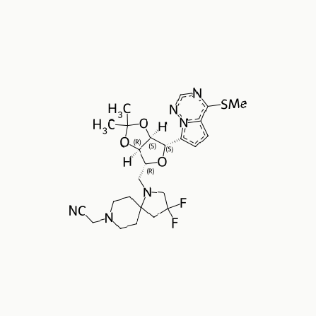 CSc1ncnn2c([C@@H]3O[C@H](CN4CC(F)(F)CC45CCN(CC#N)CC5)[C@H]4OC(C)(C)O[C@H]43)ccc12